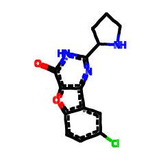 O=c1[nH]c(C2CCCN2)nc2c1oc1ccc(Cl)cc12